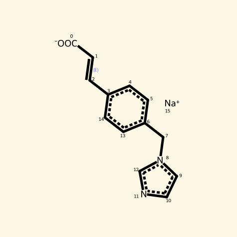 O=C([O-])/C=C/c1ccc(Cn2ccnc2)cc1.[Na+]